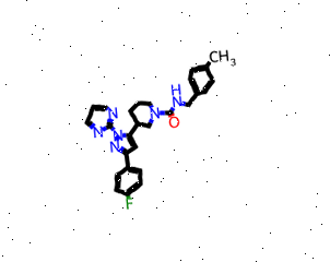 Cc1ccc(CNC(=O)N2CCCC(c3cc(-c4ccc(F)cc4)nn3-c3ncccn3)C2)cc1